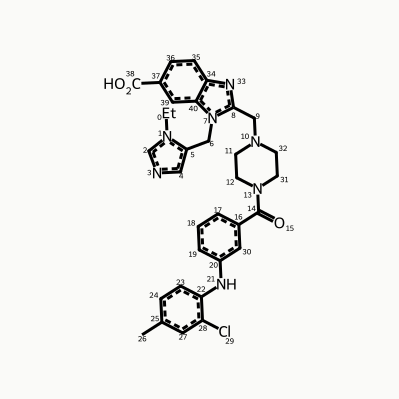 CCn1cncc1Cn1c(CN2CCN(C(=O)c3cccc(Nc4ccc(C)cc4Cl)c3)CC2)nc2ccc(C(=O)O)cc21